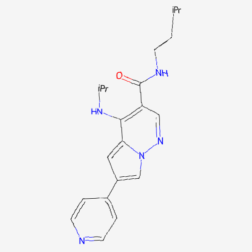 CC(C)CCNC(=O)c1cnn2cc(-c3ccncc3)cc2c1NC(C)C